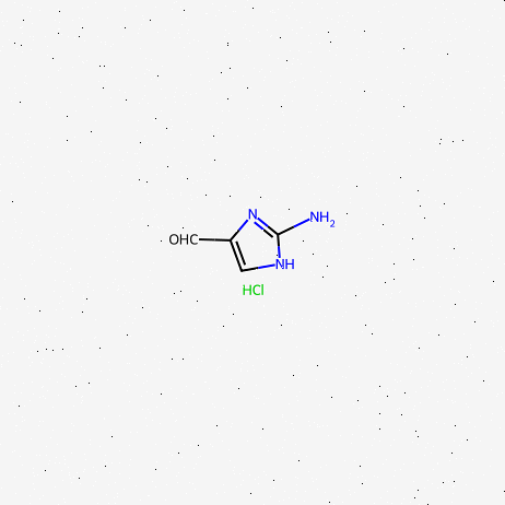 Cl.Nc1nc(C=O)c[nH]1